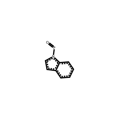 O=Pn1ccc2ccccc21